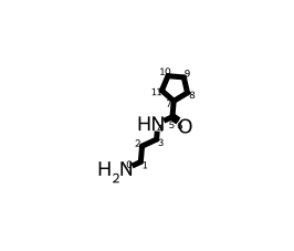 NCCCNC(=O)C1CCCC1